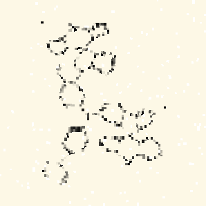 c1ccc(-c2ccc(N(c3ccc4c(c3)C3(c5ccccc5Oc5ccccc53)c3ccccc3-4)c3ccc4ccc5c(c4c3)-c3ccccc3C53c4ccccc4Sc4ccccc43)cc2)cc1